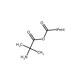 CCCC(C)C(=O)OC(=O)C(C)(C)N